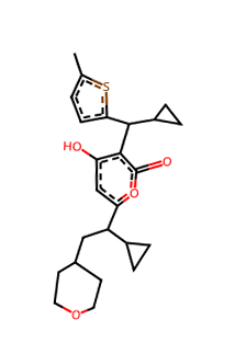 Cc1ccc(C(c2c(O)cc(C(CC3CCOCC3)C3CC3)oc2=O)C2CC2)s1